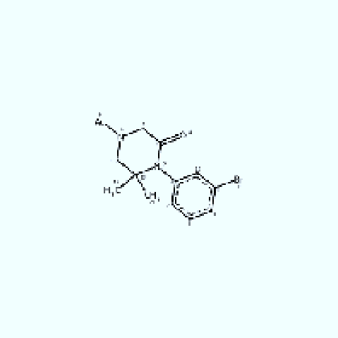 CC(=O)N1CC(=O)N(c2cccc(Br)c2)C(C)(C)C1